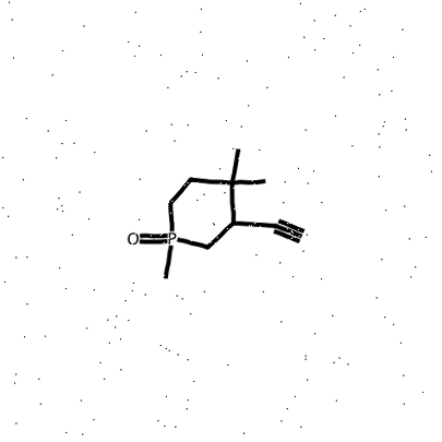 C#CC1CP(C)(=O)CCC1(C)C